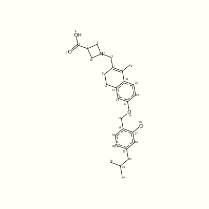 CC1=C(CN2CC(C(=O)O)C2)CCc2cc(OCc3cnc(CC(C)C)cc3Cl)ccc21